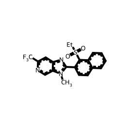 CCS(=O)(=O)c1c(-c2nc3cc(C(F)(F)F)ncc3n2C)ccc2ccccc12